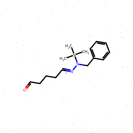 C[Si](C)(C)N(Cc1ccccc1)/N=C/CCCC=O